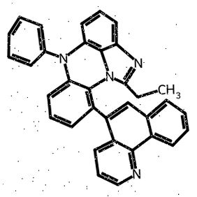 CCc1nc2cccc3c2n1-c1c(-c2cc4ccccc4c4ncccc24)cccc1N3c1ccccc1